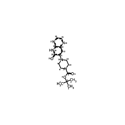 CC(C)(C)OC(=O)N1CCN(c2cc3nccnc3[nH]c2=O)CC1